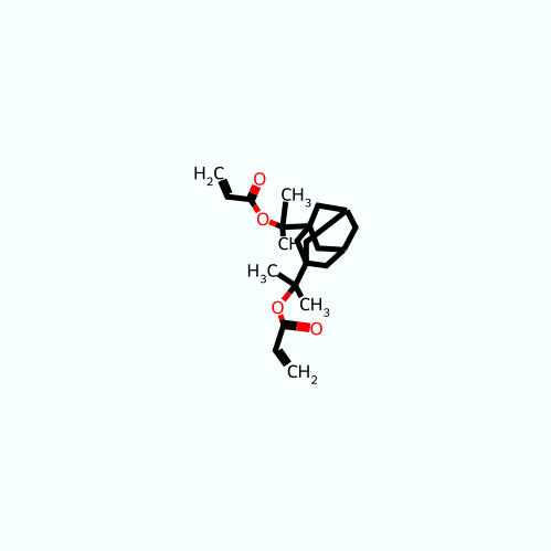 C=CC(=O)OC(C)(C)C12CC3CC(C1)CC(C(C)(C)OC(=O)C=C)(C3)C2